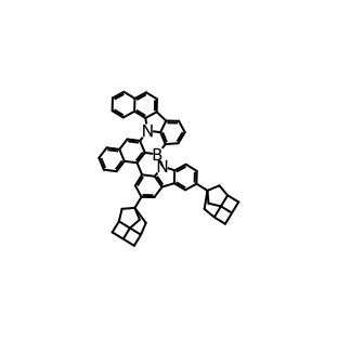 c1ccc2c3c4c(cc2c1)-n1c2c(cccc2c2ccc5ccccc5c21)B4n1c2ccc(C45CC6CC7CC(C4)C76C5)cc2c2cc(C45CC6CC7CC(C4)C76C5)cc-3c21